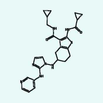 O=C(NCC1CC1)c1c(NC(=O)C2CC2)sc2c1CC(Nn1ccnc1Nc1cccnc1)CC2